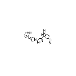 CC1(Oc2ccc3[nH]nc(-c4cc(N5CCN(C[C@@H]6CNCCO6)CC5)ncn4)c3c2)CC1